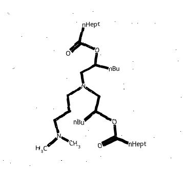 CCCCCCCC(=O)OC(CCCC)CN(CCCN(C)C)CC(CCCC)OC(=O)CCCCCCC